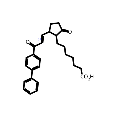 O=C(O)CCCCCCC1C(=O)CCC1/C=C/C(=O)c1ccc(-c2ccccc2)cc1